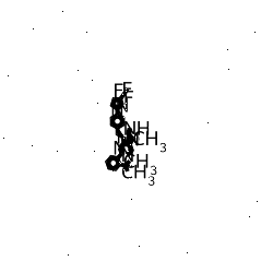 CC(C)c1ccccc1-c1ncc2c(n1)n(Cc1ccc(-n3ccc(C(F)(F)F)n3)cc1)c(=N)n2C